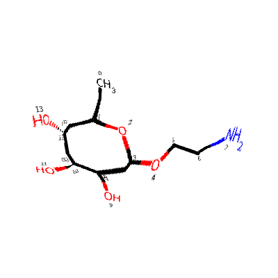 CC1OC(OCCN)C(O)[C@@H](O)[C@@H]1O